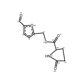 O=Cc1ccc(COC(=O)C2CCC(=O)N2)o1